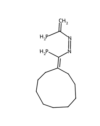 C=C(P)/N=N\C(P)=C1CCCCCCCCC1